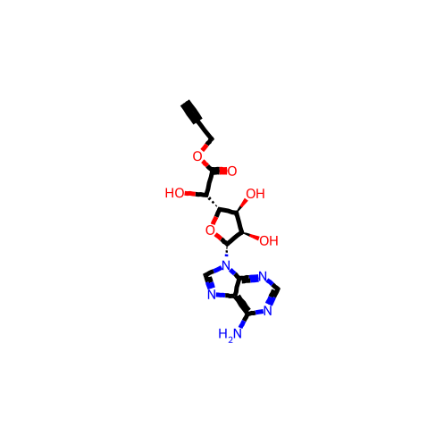 C#CCOC(=O)C(O)[C@H]1O[C@@H](n2cnc3c(N)ncnc32)[C@H](O)[C@@H]1O